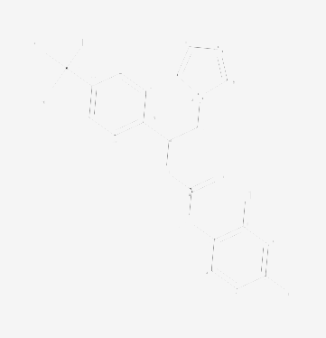 O=C(Oc1ccc(Cl)cc1Cl)OC(Cn1ccnc1)c1ccc(C(F)(F)F)cc1